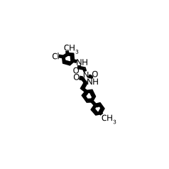 Cc1ccc(-c2ccc(/C=C3\NC(=O)N(CC(=O)NC4=CC(C)C(Cl)C=C4)C3=O)cc2)cc1